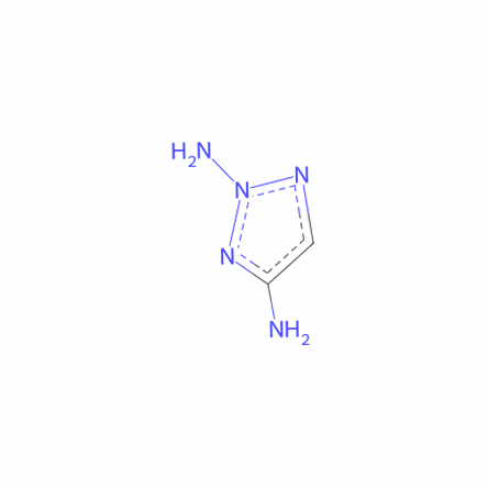 Nc1cnn(N)n1